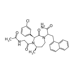 CC(=O)NCC(=O)N1[C@H](C)CCN(C(Cc2cccc3ccccc23)C(N)=O)C(=O)[C@@H]1c1cccc(Cl)c1